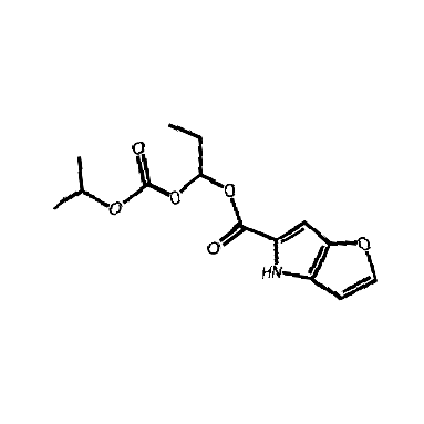 CCC(OC(=O)OC(C)C)OC(=O)c1cc2occc2[nH]1